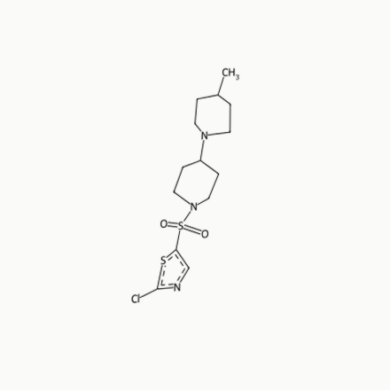 CC1CCN(C2CCN(S(=O)(=O)c3cnc(Cl)s3)CC2)CC1